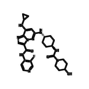 O=C(Nc1ccncc1F)c1cnc2c(NC3CC3)cc(N[C@H]3CC[C@H](NC(=O)N4CCC(O)CC4)CC3)nn12